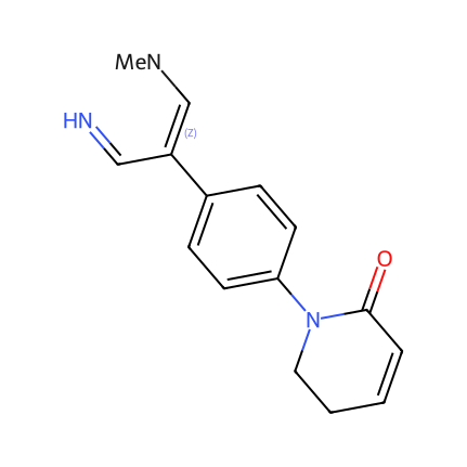 CN/C=C(\C=N)c1ccc(N2CCC=CC2=O)cc1